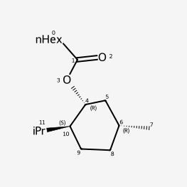 CCCCCCC(=O)O[C@@H]1C[C@H](C)CC[C@H]1C(C)C